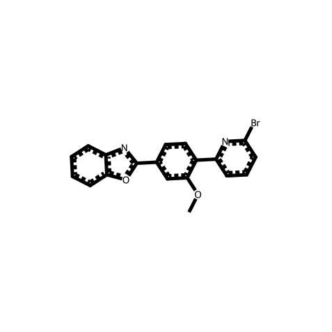 COc1cc(-c2nc3ccccc3o2)ccc1-c1cccc(Br)n1